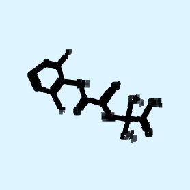 CC(C)(NC(=O)C(=O)Nc1c(F)cccc1F)C(=O)O